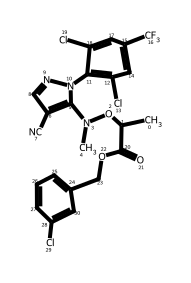 CC(ON(C)c1c(C#N)cnn1-c1c(Cl)cc(C(F)(F)F)cc1Cl)C(=O)OCc1cccc(Cl)c1